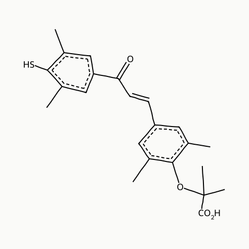 Cc1cc(C(=O)/C=C/c2cc(C)c(OC(C)(C)C(=O)O)c(C)c2)cc(C)c1S